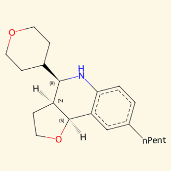 CCCCCc1ccc2c(c1)[C@H]1OCC[C@H]1[C@@H](C1CCOCC1)N2